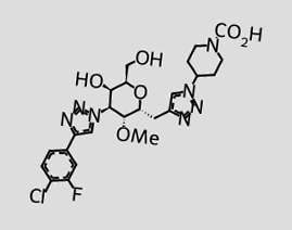 CO[C@@H]1[C@@H](n2cc(-c3ccc(Cl)c(F)c3)nn2)[C@@H](O)[C@@H](CO)O[C@@H]1Cc1cn(C2CCN(C(=O)O)CC2)nn1